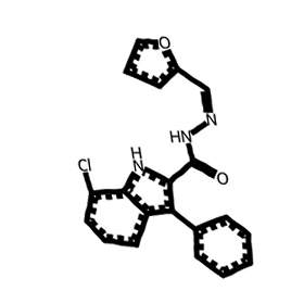 O=C(N/N=C\c1ccco1)c1[nH]c2c(Cl)cccc2c1-c1ccccc1